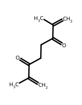 C=C(C)C(=O)CCC(=O)C(=C)C